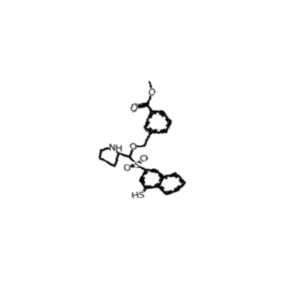 COC(=O)c1cccc(COC(C2CCCN2)S(=O)(=O)c2cc(S)c3ccccc3c2)c1